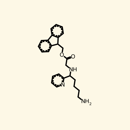 NCCCCC(NCC(=O)OCC1c2ccccc2-c2ccccc21)c1ccccn1